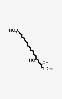 CCCCCCCCCCCC(O)CCC(O)CCCCCCCCCCCCC(=O)O